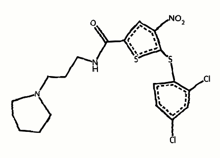 O=C(NCCCN1CCCCC1)c1cc([N+](=O)[O-])c(Sc2ccc(Cl)cc2Cl)s1